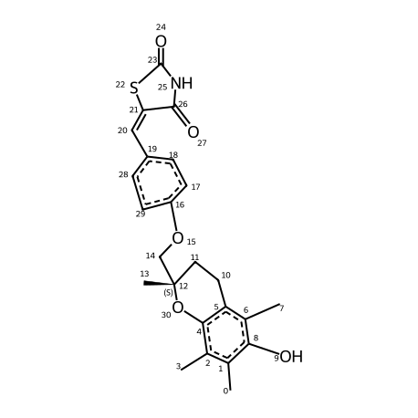 Cc1c(C)c2c(c(C)c1O)CC[C@@](C)(COc1ccc(C=C3SC(=O)NC3=O)cc1)O2